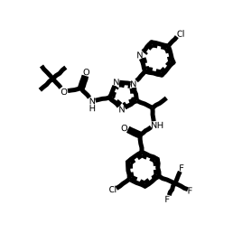 CC(NC(=O)c1cc(Cl)cc(C(F)(F)F)c1)c1nc(NC(=O)OC(C)(C)C)nn1-c1ccc(Cl)cn1